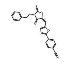 N#Cc1ccc(-c2ccc(/C=C3/SC(=S)N(CCc4ccccc4)C3=O)o2)cc1